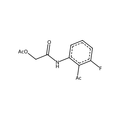 CC(=O)OCC(=O)Nc1cccc(F)c1C(C)=O